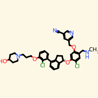 CNCc1cc(Cl)c(O[C@H]2CCc3c(-c4cccc(OCCCN5CCC(O)CC5)c4Cl)cccc32)cc1OCc1cncc(C#N)c1